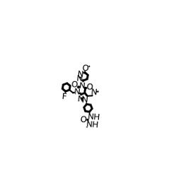 CNC(=O)Nc1ccc(-n2nc3c(c2CN(C)C)c(=O)n(-c2ccc(OC)nn2)c(=O)n3Cc2ccccc2F)cc1